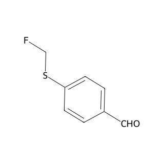 O=Cc1ccc(SCF)cc1